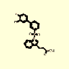 O=C(O)CCc1cn(S(=O)(=O)c2cccc(-c3ccc(F)c(Cl)c3)c2)c2ccccc12